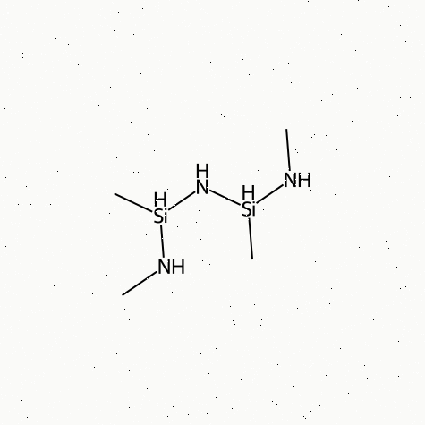 CN[SiH](C)N[SiH](C)NC